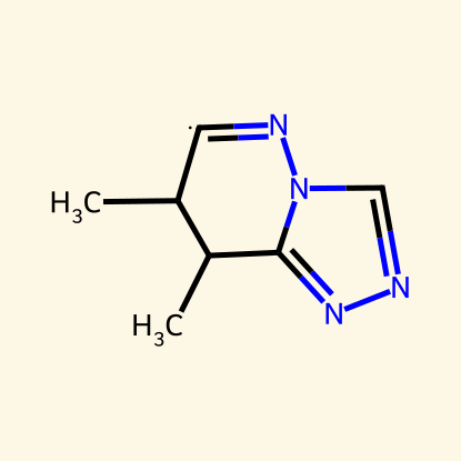 CC1[C]=Nn2cnnc2C1C